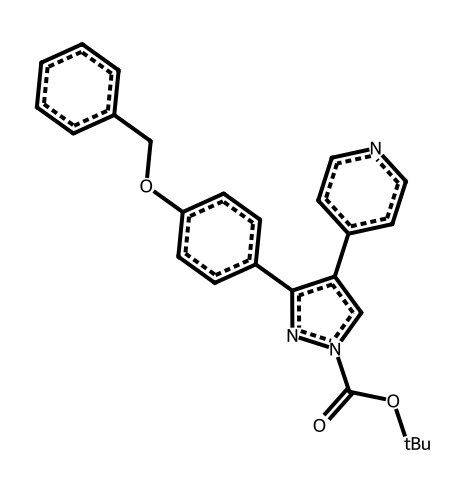 CC(C)(C)OC(=O)n1cc(-c2ccncc2)c(-c2ccc(OCc3ccccc3)cc2)n1